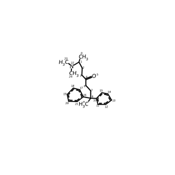 CC(CCC(=O)CCC(C)(c1ccccc1)c1ccccc1)N(C)C